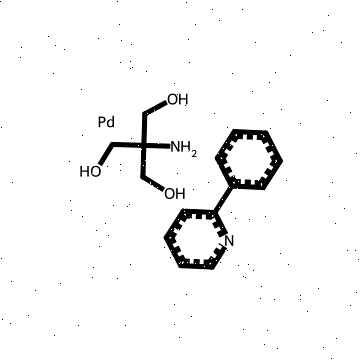 NC(CO)(CO)CO.[Pd].c1ccc(-c2ccccn2)cc1